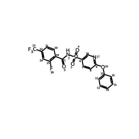 O=C(NS(=O)(=O)c1ccc(Oc2ccccc2)nc1)c1ccc(C(F)(F)F)cc1F